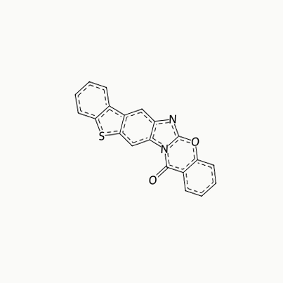 O=c1c2ccccc2oc2nc3cc4c(cc3n12)sc1ccccc14